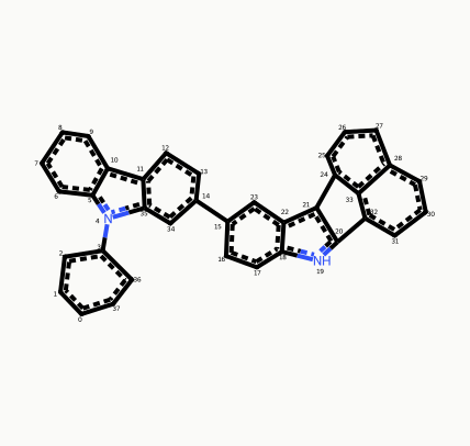 c1ccc(-n2c3ccccc3c3ccc(-c4ccc5[nH]c6c(c5c4)-c4cccc5cccc-6c45)cc32)cc1